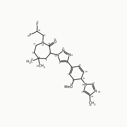 COC1C=C(c2cn(C3CC(C)(C)CCN(CC(F)F)C3=O)nn2)C=CC1n1cnc(C)c1